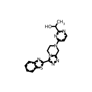 CC(O)c1nccc(N2CCn3c(nnc3-c3nc4ccccc4s3)C2)n1